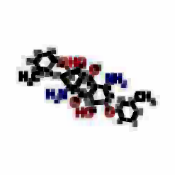 Cc1cccc(Oc2cc(N)c3c(c2O)C(=O)c2c(N)cc(Oc4cccc(C)c4)c(O)c2C3=O)c1